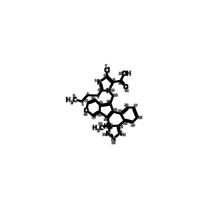 CCCCc1nc(Cl)c(C(=O)O)n1Cc1c2ccocc-2c(OC)c1-c1ccccc1-c1nnn[nH]1